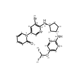 O=c1ccccn1-c1cnc(N[C@H]2CC[C@H](Nc3ncc(OC(F)F)cn3)C2)c(Br)c1